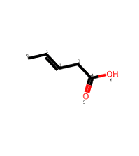 C/C=C/CC(=O)O